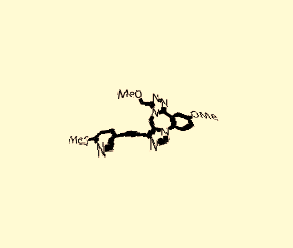 COCc1nnc2n1Cc1c(C#Cc3ccc(SC)nc3)ncn1-c1ccc(OC)cc1-2